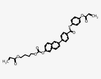 C=CC(=O)OCCCCOC(=O)Oc1ccc2cc(-c3ccc(C(=O)Sc4ccc(OC(=O)C=C)cc4)cc3)ccc2c1